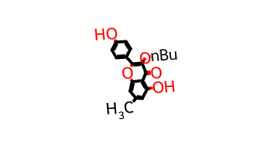 CCCCOc1c(-c2ccc(O)cc2)oc2cc(C)cc(O)c2c1=O